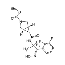 CC(C)(C)OC(=O)N1C[C@@H]2[C@H](C1)[C@H]2C(=O)NC(C)(C)C(=NO)c1cccc(F)c1F